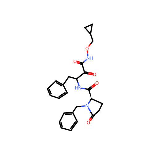 O=C(NOCC1CC1)C(=O)C(Cc1ccccc1)NC(=O)[C@H]1CCC(=O)N1Cc1ccccc1